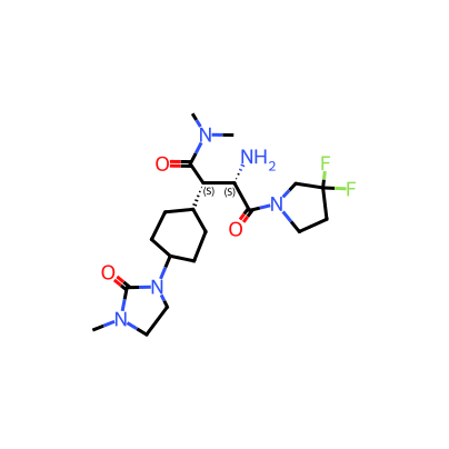 CN(C)C(=O)[C@@H](C1CCC(N2CCN(C)C2=O)CC1)[C@H](N)C(=O)N1CCC(F)(F)C1